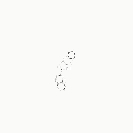 COC(=O)[C@H](Cc1ccccc1)NC(=O)c1cnc2ccccc2n1